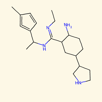 CC/N=C(/NC(C)C1=C=C(C)C=C1)C1CC(C2CCNC2)CCC1N